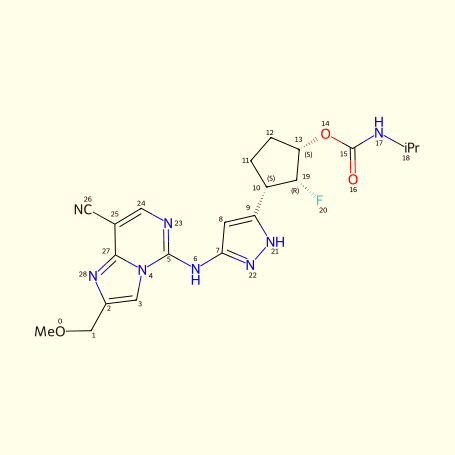 COCc1cn2c(Nc3cc([C@@H]4CC[C@H](OC(=O)NC(C)C)[C@@H]4F)[nH]n3)ncc(C#N)c2n1